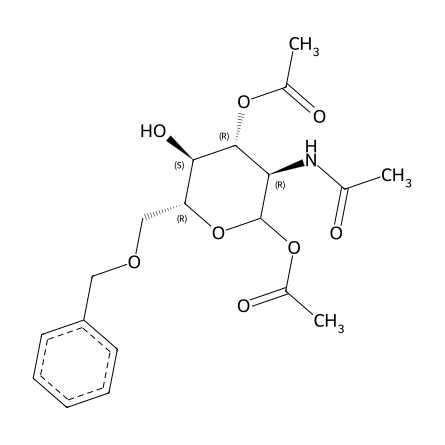 CC(=O)N[C@H]1C(OC(C)=O)O[C@H](COCc2ccccc2)[C@@H](O)[C@@H]1OC(C)=O